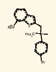 CCCCc1cccc2cc(CC(C)(C(=O)O)c3ccc(C(C)C)cc3)sc12